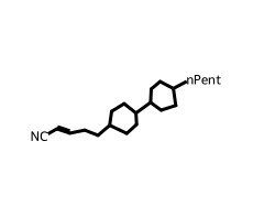 CCCCCC1CCC(C2CCC(CCC=CC#N)CC2)CC1